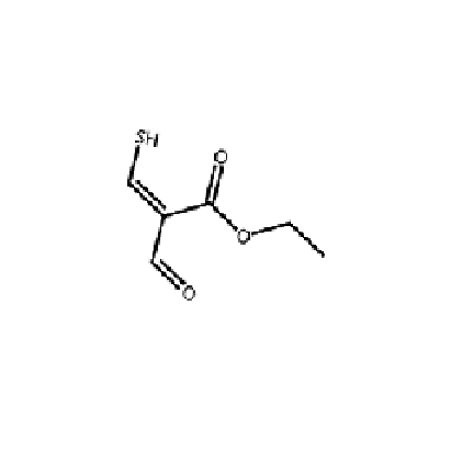 CCOC(=O)/C(C=O)=C\S